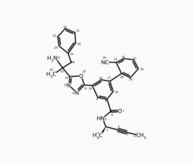 CC#C[C@@H](C)NC(=O)c1cc(-c2nnc(C(C)(N)Cc3ccccc3)o2)cc(-c2ccccc2C#N)c1